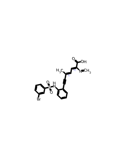 C=N/C(=C\C=C(/C)C#Cc1ccccc1NS(=O)(=O)c1cccc(Br)c1)C(=O)O